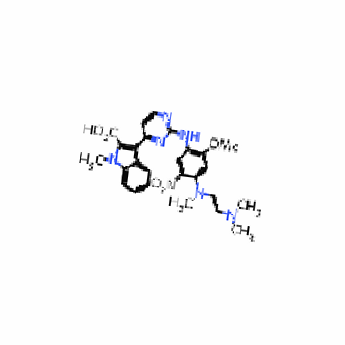 COc1cc(N(C)CCN(C)C)c([N+](=O)[O-])cc1Nc1nccc(-c2c(C(=O)O)n(C)c3ccccc23)n1